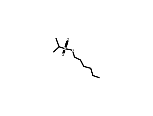 CCCCCCOS(=O)(=O)C(C)C